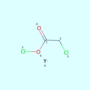 O=C(CCl)OCl.[Y]